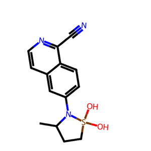 CC1CCS(O)(O)N1c1ccc2c(C#N)nccc2c1